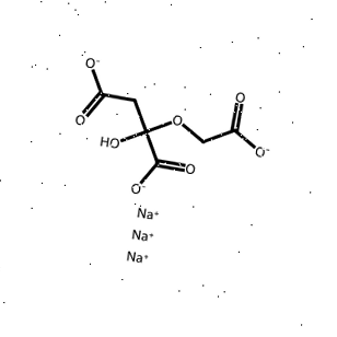 O=C([O-])COC(O)(CC(=O)[O-])C(=O)[O-].[Na+].[Na+].[Na+]